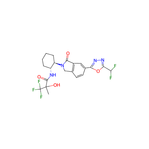 CC(O)(C(=O)N[C@@H]1CCCC[C@H]1N1Cc2ccc(-c3nnc(C(F)F)o3)cc2C1=O)C(F)(F)F